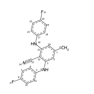 Cc1cc(Nc2ccc(F)cc2)c(C#N)c(Nc2ccc(F)cc2)c1